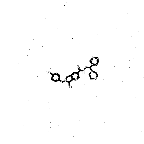 CC(C)C1c2ncc(C(=O)NCC(c3cccnc3)N3CCOCC3)cc2CN1Cc1ccc(C(F)(F)F)cc1